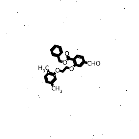 Cc1ccc(C)c(OCCOc2cc(C=O)ccc2C(=O)OCc2ccccc2)c1